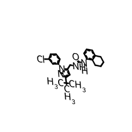 CC(C)(C)c1cc(CNC(=O)Nc2cccc3c2CCCC3)n(-c2cccc(Cl)c2)n1